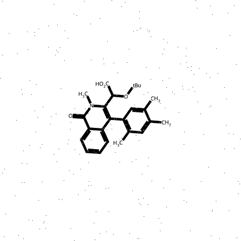 Cc1cc(C)c(-c2c(C(OC(C)(C)C)C(=O)O)n(C)c(=O)c3ccccc23)cc1C